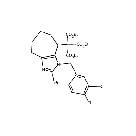 CCOC(=O)C(C(=O)OCC)(C(=O)OCC)C1CCCCc2nc(C(C)C)n(Cc3ccc(Cl)c(Cl)c3)c21